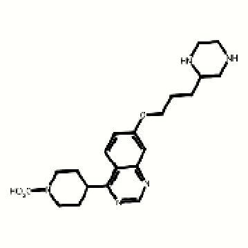 O=C(O)N1CCC(c2ncnc3cc(OCCCC4CNCCN4)ccc23)CC1